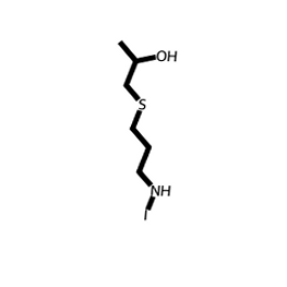 CC(O)CSCCCNI